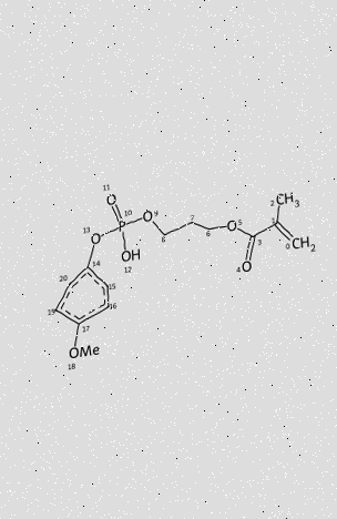 C=C(C)C(=O)OCCCOP(=O)(O)Oc1ccc(OC)cc1